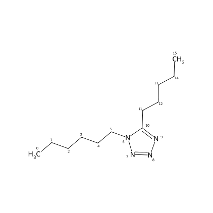 CCCCCCn1nnnc1CCCCC